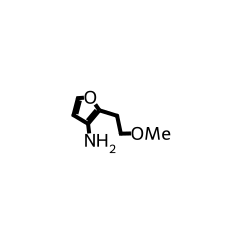 COCCc1occc1N